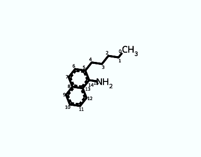 CCCCCc1ccc2ccccc2c1N